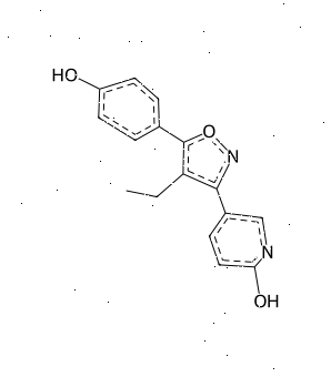 CCc1c(-c2ccc(O)nc2)noc1-c1ccc(O)cc1